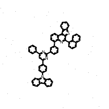 c1ccc(-c2cc(-c3ccc(-n4c5ccccc5c5ccccc54)cc3)nc(-c3cccc(-c4cccc5c4nc(-c4cccc6ccccc46)c4sc6ccccc6c45)c3)n2)cc1